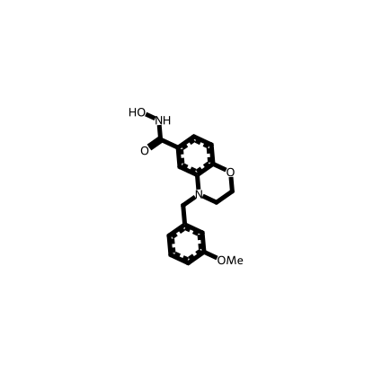 COc1cccc(CN2CCOc3ccc(C(=O)NO)cc32)c1